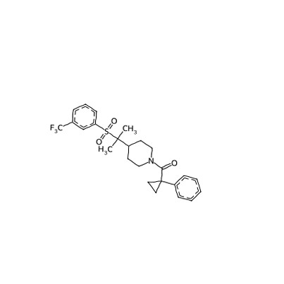 CC(C)(C1CCN(C(=O)C2(c3ccccc3)CC2)CC1)S(=O)(=O)c1cccc(C(F)(F)F)c1